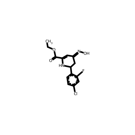 CCOC(=O)C1=CC(=NO)CC(c2ccc(Cl)cc2F)N1